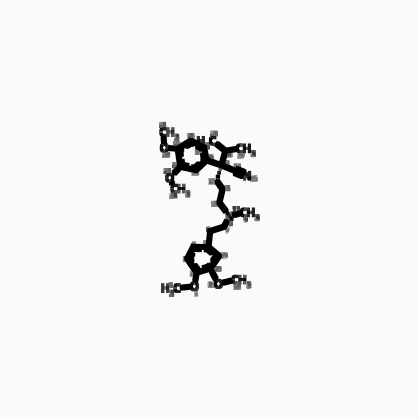 COc1ccc(CCN([11CH3])CCC[C@](C#N)(c2ccc(OC)c(OC)c2)C(C)C)cc1OC